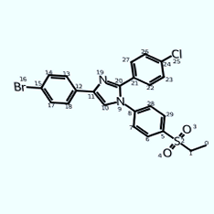 CCS(=O)(=O)c1ccc(-n2cc(-c3ccc(Br)cc3)nc2-c2ccc(Cl)cc2)cc1